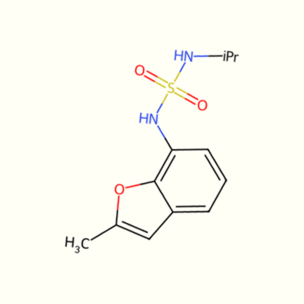 Cc1cc2cccc(NS(=O)(=O)NC(C)C)c2o1